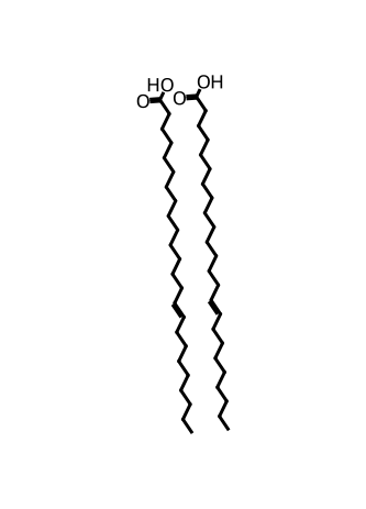 CCCCCCCCC=CCCCCCCCCCCCCCC(=O)O.CCCCCCCCC=CCCCCCCCCCCCCCC(=O)O